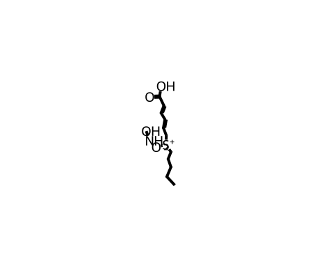 CCCCC[S+]([O-])CC=CC=CC(=O)O.NO